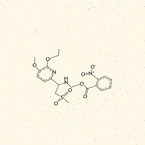 CCOc1nc(C(CS(C)(=O)=O)NCOC(=O)c2ccccc2[N+](=O)[O-])ccc1OC